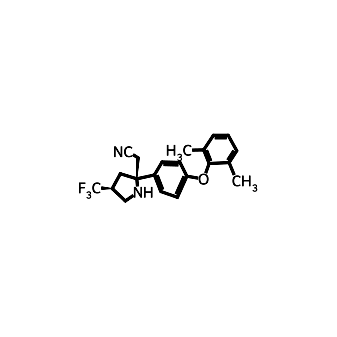 Cc1cccc(C)c1Oc1ccc([C@@]2(CC#N)C[C@H](C(F)(F)F)CN2)cc1